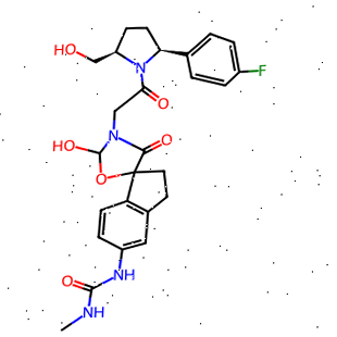 CNC(=O)Nc1ccc2c(c1)CCC21OC(O)N(CC(=O)N2[C@@H](CO)CC[C@H]2c2ccc(F)cc2)C1=O